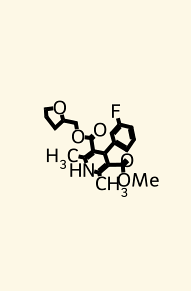 COC(=O)C1=C(C)NC(C)=C(C(=O)OCC2CCCO2)C1c1cccc(F)c1